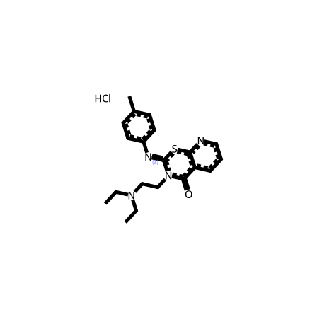 CCN(CC)CCn1c(=O)c2cccnc2s/c1=N\c1ccc(C)cc1.Cl